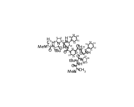 CN[C@@H](C)C(=O)N[C@H](C(=O)N1CCC[C@H]1C(=O)N[C@H](CNC(=O)c1cccc(C(=O)NC[C@@H](NC(=O)[C@@H]2CCCN2C(=O)[C@@H](NC(=O)[C@H](C)NC)C(C)(C)C)c2ccccc2)c1)c1ccccc1)C(C)(C)C